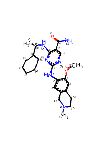 COc1cc2c(cc1Nc1ncc(C(N)=O)c(N[C@H](C)C3CCCCC3)n1)CN(C)CC2